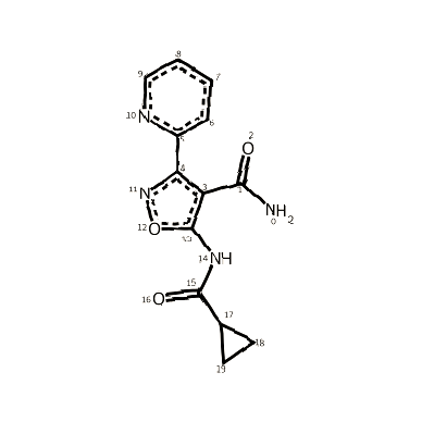 NC(=O)c1c(-c2ccccn2)noc1NC(=O)C1CC1